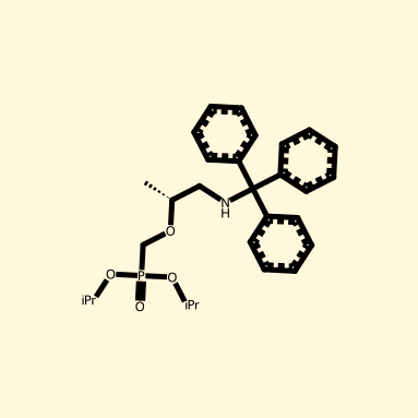 CC(C)OP(=O)(CO[C@H](C)CNC(c1ccccc1)(c1ccccc1)c1ccccc1)OC(C)C